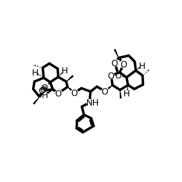 C[C@H]1[C@@H](OCC(CO[C@H]2O[C@@H]3O[C@@]4(C)CC[C@H]5[C@H](C)CC[C@@H]([C@H]2C)[C@@]35OO4)NCc2ccccc2)OC2O[C@@]3(C)CC[C@H]4[C@H](C)CC[C@@H]1[C@@]24OO3